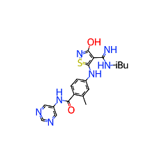 CCC(C)NC(=N)c1c(O)nsc1Nc1ccc(C(=O)Nc2cncnc2)c(C)c1